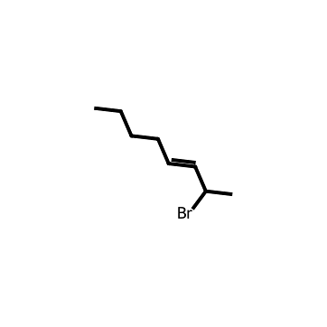 CCCCC=CC(C)Br